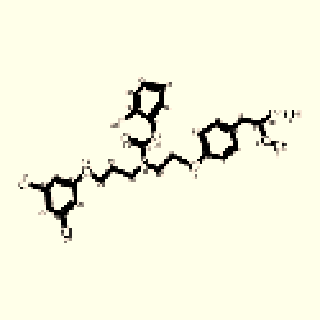 CCOC(Cc1ccc(OCCN(CCCOc2cc(Cl)cc(Cl)c2)C(=O)Oc2ccccc2F)cc1)C(=O)O